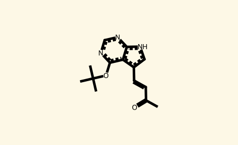 CC(=O)C=Cc1c[nH]c2ncnc(OC(C)(C)C)c12